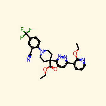 CCOC(=O)C1(c2ccc(-c3cccnc3OCC)nn2)CCN(c2ccc(C(F)(F)F)cc2C#N)CC1